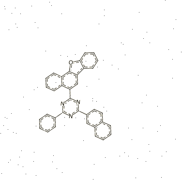 c1ccc(-c2nc(-c3ccc4ccccc4c3)nc(-c3cc4c5ccccc5oc4c4ccccc34)n2)cc1